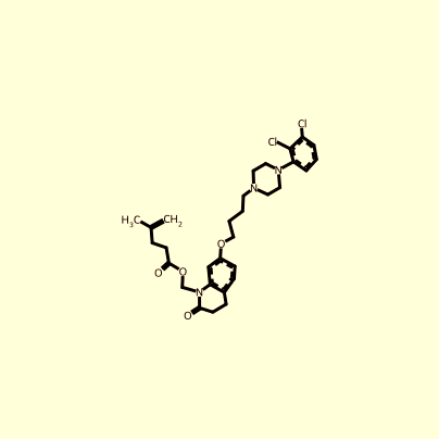 C=C(C)CCC(=O)OCN1C(=O)CCc2ccc(OCCCCN3CCN(c4cccc(Cl)c4Cl)CC3)cc21